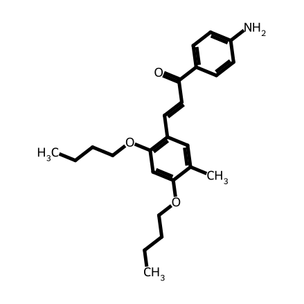 CCCCOc1cc(OCCCC)c(C=CC(=O)c2ccc(N)cc2)cc1C